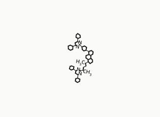 C/C(=C\C=C(/C)c1cccc2c1ccc1c(-c3ccc(-c4nc(-c5ccccc5)cc(-c5ccccc5)n4)cc3)cccc12)c1nc(-c2ccccc2)cc(-c2ccccc2)n1